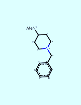 CN[C]1CCN(Cc2ccccc2)CC1